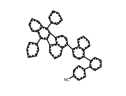 N#Cc1ccc(-c2ccccc2-c2ccc(-c3ccc4c5c(cccc35)-c3c-4c(-c4ccccc4)c4ccccc4c3-c3ccccc3)c3ccccc23)cc1